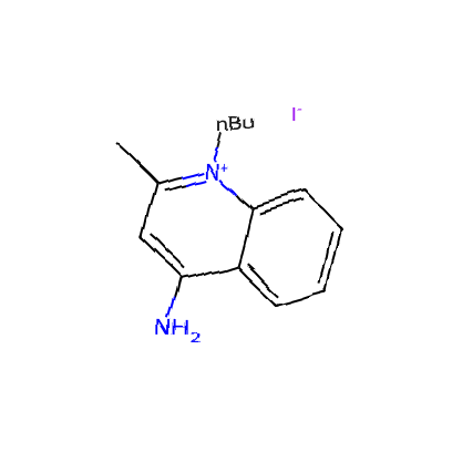 CCCC[n+]1c(C)cc(N)c2ccccc21.[I-]